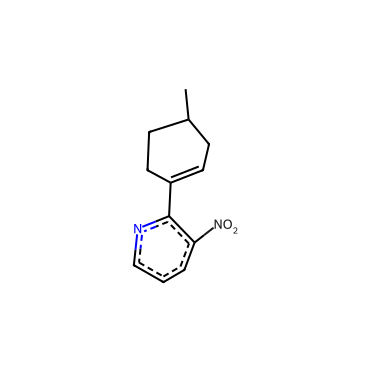 CC1CC=C(c2ncccc2[N+](=O)[O-])CC1